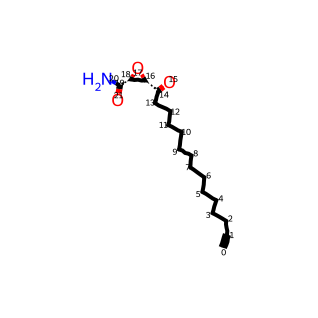 C#CCCCCCCCCCCCCC(=O)[C@H]1O[C@H]1C(N)=O